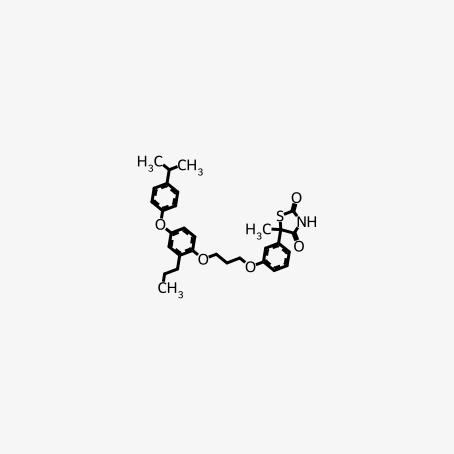 CCCc1cc(Oc2ccc(C(C)C)cc2)ccc1OCCCOc1cccc(C2(C)SC(=O)NC2=O)c1